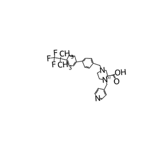 CC(C)(c1ccc(-c2ccc(CN3CCN(Cc4ccncc4)[C@H](C(=O)O)C3)cc2)cc1)C(F)(F)F